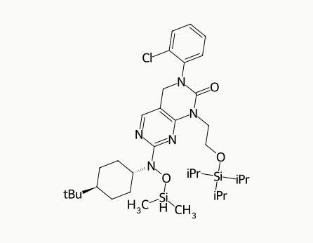 CC(C)[Si](OCCN1C(=O)N(c2ccccc2Cl)Cc2cnc(N(O[SiH](C)C)[C@H]3CC[C@H](C(C)(C)C)CC3)nc21)(C(C)C)C(C)C